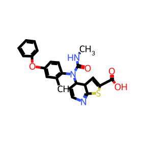 CNC(=O)N(c1ccc(Oc2ccccc2)cc1C)C1C=CN=C2SC(C(=O)O)=CC21